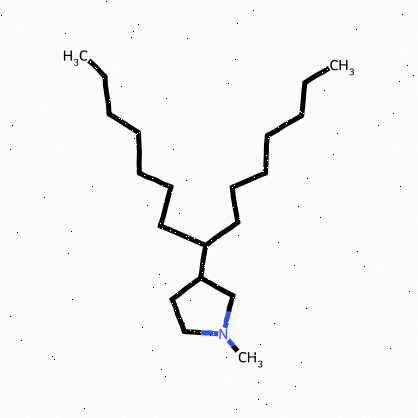 CCCCCCCC(CCCCCCC)C1CCN(C)C1